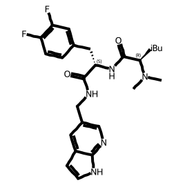 CCC(C)[C@H](C(=O)N[C@@H](Cc1ccc(F)c(F)c1)C(=O)NCc1cnc2[nH]ccc2c1)N(C)C